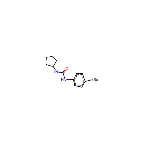 CC(C)(C)c1ccc(NC(=O)NC2CCCC2)cc1